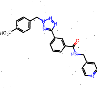 O=C(O)c1ccc(Cn2nnc(-c3cccc(C(=O)NCc4ccncc4)c3)n2)cc1